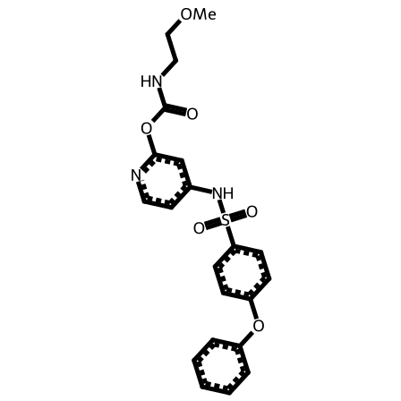 COCCNC(=O)Oc1cc(NS(=O)(=O)c2ccc(Oc3ccccc3)cc2)ccn1